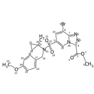 COC(=O)c1nnc2c(Br)cc(S(=O)(=O)N(Cc3ccc(OC)cc3)C3(C)CC3)cn12